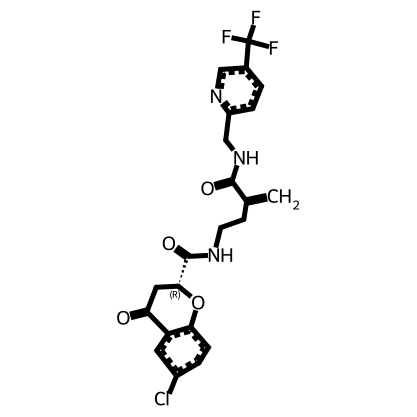 C=C(CCNC(=O)[C@H]1CC(=O)c2cc(Cl)ccc2O1)C(=O)NCc1ccc(C(F)(F)F)cn1